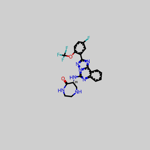 O=C1NCCNC[C@H]1Nc1nc2ccccc2c2nc(-c3cc(F)ccc3OC(F)(F)F)nn12